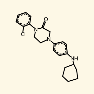 O=C1CN(c2ccc(NC3CCCCC3)cc2)CCN1c1ccccc1Cl